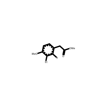 CCc1c(OC)ccc(CC(=O)OC)c1F